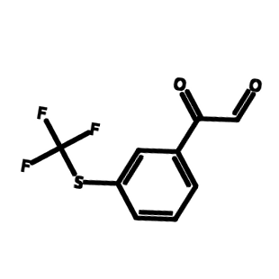 O=CC(=O)c1cccc(SC(F)(F)F)c1